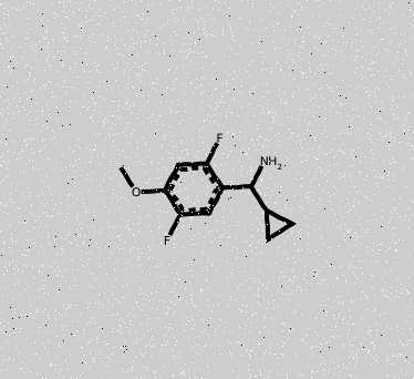 COc1cc(F)c(C(N)C2CC2)cc1F